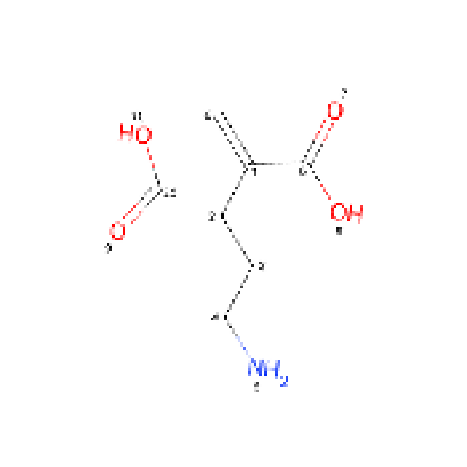 C=C(CCCN)C(=O)O.O=CO